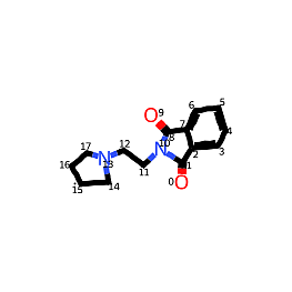 O=C1c2ccccc2C(=O)N1CCN1C[CH]CC1